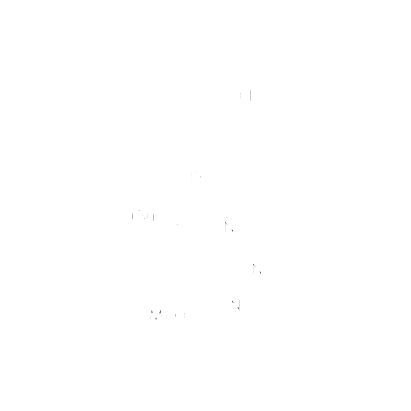 COc1cc(N(Cc2ccc(Cl)cc2)C(=O)OC(C)(C)C)ncn1